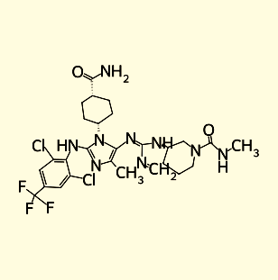 C=N/C(=N\c1c(C)nc(Nc2c(Cl)cc(C(F)(F)F)cc2Cl)n1[C@H]1CC[C@@H](C(N)=O)CC1)N[C@@H]1CCCN(C(=O)NC)C1